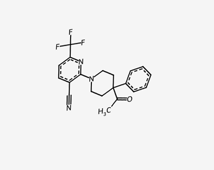 CC(=O)C1(c2ccccc2)CCN(c2nc(C(F)(F)F)ccc2C#N)CC1